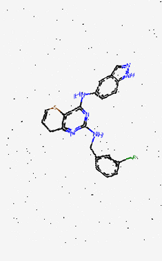 Fc1cccc(CNc2nc3c(c(Nc4ccc5[nH]ncc5c4)n2)SC=CC3)c1